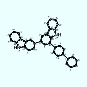 c1ccc(-c2ccc(-c3cc(-c4ccc5[nH]c6ccccc6c5c4)cc4c3[nH]c3ccccc34)cc2)cc1